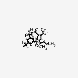 CCC[CH2][Sn]([CH2]CCC)([CH2]CCC)[CH](OC)c1cc(C(F)(F)F)cc(C(F)(F)F)c1